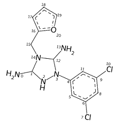 NC1NN(c2cc(Cl)cc(Cl)c2)C(N)N1Cc1ccco1